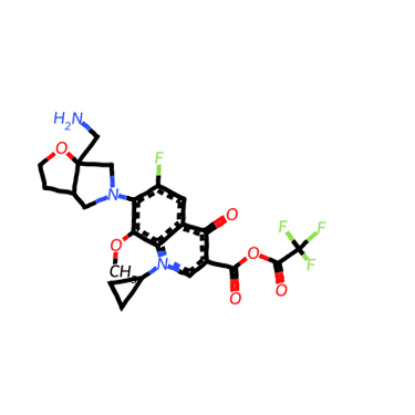 COc1c(N2CC3CCOC3(CN)C2)c(F)cc2c(=O)c(C(=O)OC(=O)C(F)(F)F)cn(C3CC3)c12